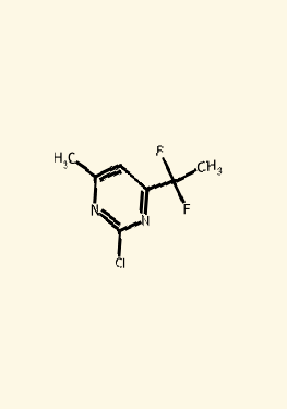 Cc1cc(C(C)(F)F)nc(Cl)n1